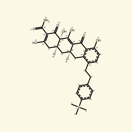 C[Si](C)(C)c1ccc(CCc2ccc(O)c3c2C[C@H]2C[C@H]4CC(O)=C(C(N)=O)C(=O)[C@@]4(O)C(O)=C2C3=O)cc1